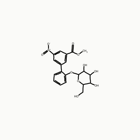 COC(=O)c1cc(-c2ccccc2OC2OC(CO)C(O)C(O)C2O)cc([N+](=O)[O-])c1